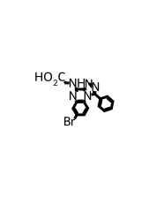 O=C(O)CNc1nc2cc(Br)ccc2n2c(-c3ccccc3)nnc12